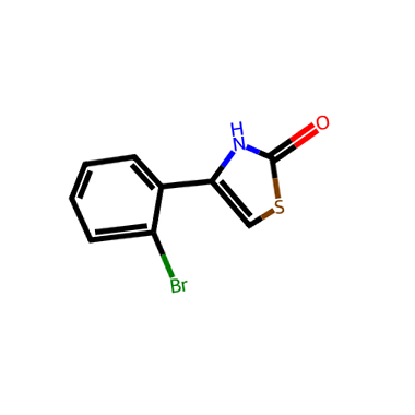 O=c1[nH]c(-c2ccccc2Br)cs1